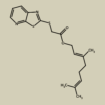 CC(C)=CCC/C(C)=C/COC(=O)CSc1nc2cccnc2s1